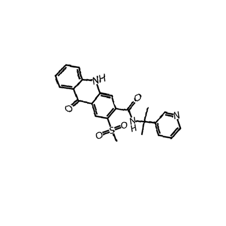 CC(C)(NC(=O)c1cc2[nH]c3ccccc3c(=O)c2cc1S(C)(=O)=O)c1cccnc1